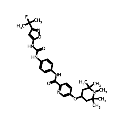 CN1C(C)(C)CC(Oc2ccc(C(=O)Nc3ccc(NC(=O)Nc4cc(C(C)(C)F)no4)cc3)nc2)CC1(C)C